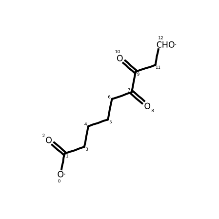 [O]C(=O)CCCCC(=O)C(=O)C[C]=O